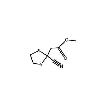 COC(=O)CC1(C#N)SCCS1